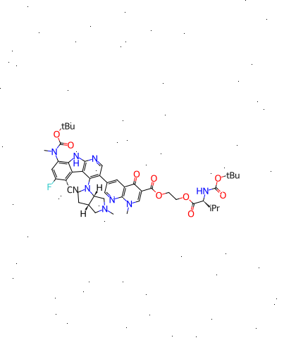 CC(C)[C@H](NC(=O)OC(C)(C)C)C(=O)OCCOC(=O)c1cn(C)c2ncc(-c3cnc4[nH]c5c(N(C)C(=O)OC(C)(C)C)cc(F)c(C#N)c5c4c3N3CC[C@H]4CN(C)C[C@H]43)cc2c1=O